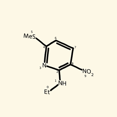 CCNc1nc(SC)ccc1[N+](=O)[O-]